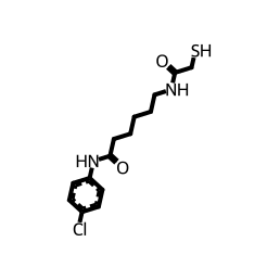 O=C(CS)NCCCCCC(=O)Nc1ccc(Cl)cc1